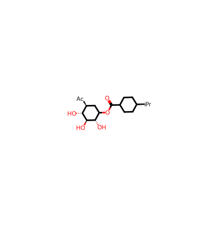 CC(=O)[C@H]1CC(OC(=O)C2CCC(C(C)C)CC2)[C@H](O)[C@@H](O)[C@@H]1O